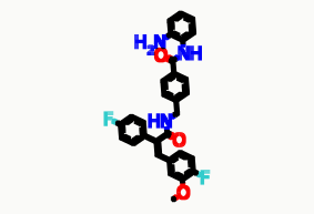 COc1cc(C=C(C(=O)NCc2ccc(C(=O)Nc3ccccc3N)cc2)c2ccc(F)cc2)ccc1F